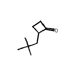 CC(C)(C)CC1CCC1=O